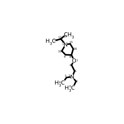 CCN(CC)CCOC1CCN(C(C)C)CC1